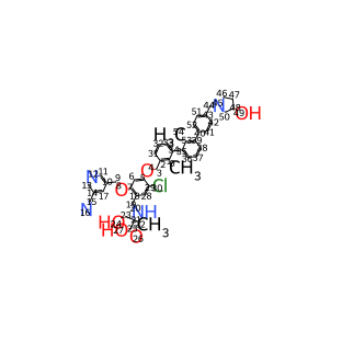 Cc1c(COc2cc(OCc3cncc(C#N)c3)c(CNC(C)(CO)C(=O)O)cc2Cl)cccc1-c1cccc(-c2ccc(CN3CC[C@H](O)C3)cc2)c1C